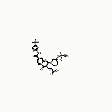 CC(C)(C)c1csc(NC(=O)c2ccn3c(=O)c(/C=C/C(=O)O)c(N4CCC[C@@H](OS(N)(=O)=O)C4)nc3c2)n1